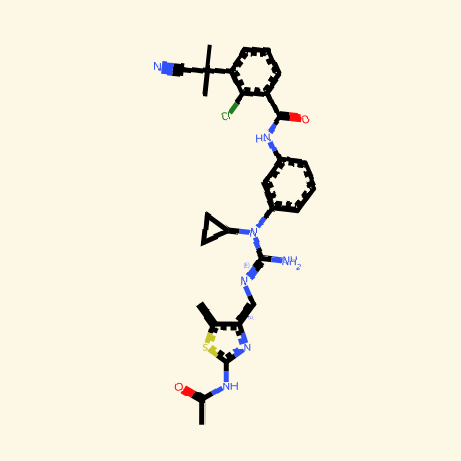 C=c1sc(NC(C)=O)n/c1=C/N=C(\N)N(c1cccc(NC(=O)c2cccc(C(C)(C)C#N)c2Cl)c1)C1CC1